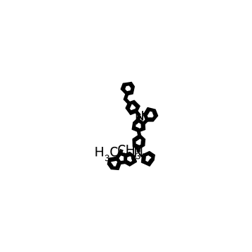 CC1(C)c2ccccc2-c2ccc(N(c3ccccc3)c3ccc(-c4ccc5c(c4)c4ccccc4n5-c4ccc(Cc5ccccc5)cc4)cc3)cc21